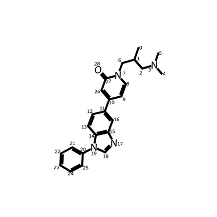 CC(CN(C)C)Cn1ccc(-c2ccc3c(c2)ncn3-c2ccccc2)cc1=O